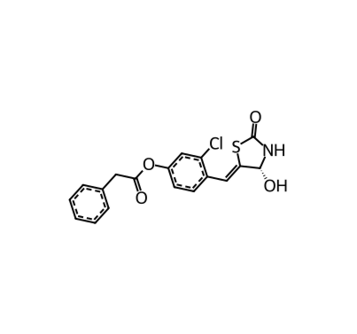 O=C(Cc1ccccc1)Oc1ccc(/C=C2\SC(=O)N[C@@H]2O)c(Cl)c1